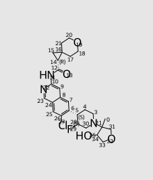 CC1(N2CC[C@@H](c3cc4cc(NC(=O)[C@@H]5CC56CCOCC6)ncc4cc3Cl)[C@H](F)C2)COCC1O